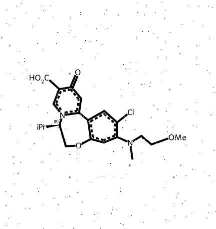 COCCN(C)c1cc2c(cc1Cl)-c1cc(=O)c(C(=O)O)cn1[C@H](C(C)C)CO2